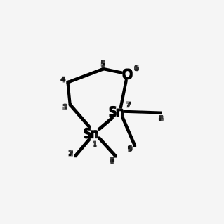 [CH3][Sn]1([CH3])[CH2]CC[O][Sn]1([CH3])[CH3]